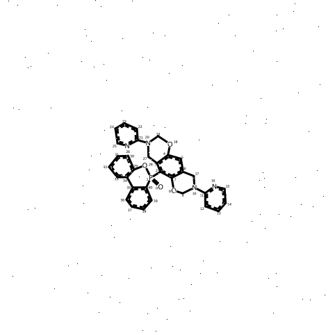 O=P1(c2c3c(cc4c2OCN(c2ccccn2)C4)OCN(c2ccccn2)C3)Oc2ccccc2-c2ccccc21